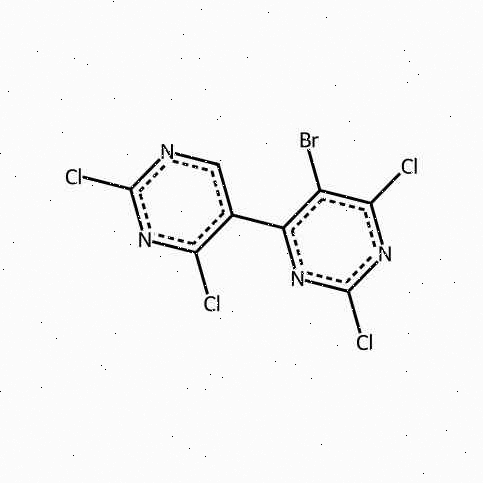 Clc1ncc(-c2nc(Cl)nc(Cl)c2Br)c(Cl)n1